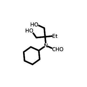 CCC(CO)(CO)N(C=O)C1CCCCC1